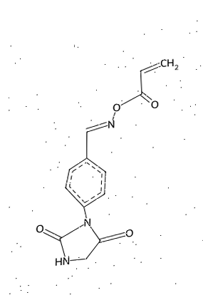 C=CC(=O)ON=Cc1ccc(N2C(=O)CNC2=O)cc1